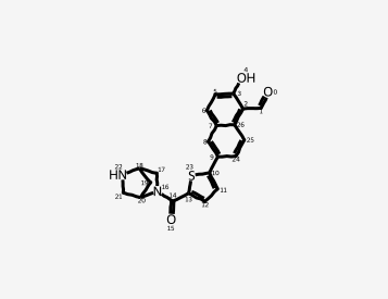 O=Cc1c(O)ccc2cc(-c3ccc(C(=O)N4CC5CC4CN5)s3)ccc12